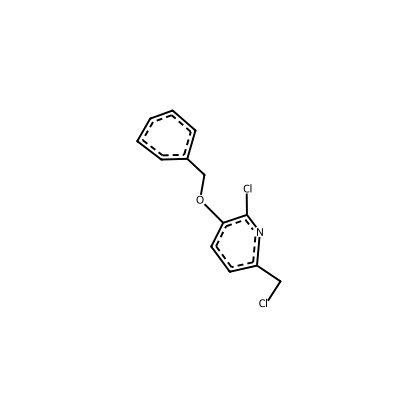 ClCc1ccc(OCc2ccccc2)c(Cl)n1